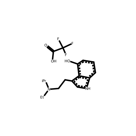 CCN(CCc1c[nH]c2cccc(O)c12)C(C)C.O=C(O)C(F)(F)F